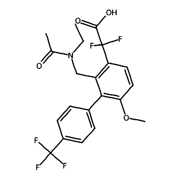 CCN(Cc1c(C(F)(F)C(=O)O)ccc(OC)c1-c1ccc(C(F)(F)F)cc1)C(C)=O